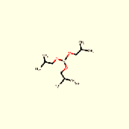 CC(C)C[O][Al]([O]CC(C)C)[O]CC(C)C.[HH]